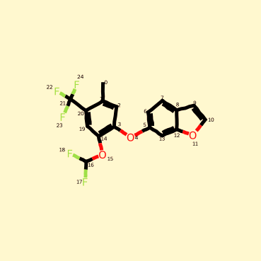 Cc1cc(Oc2ccc3ccoc3c2)c(OC(F)F)cc1C(F)(F)F